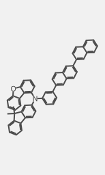 CC1(C)c2ccccc2-c2ccc(N(c3cccc(-c4ccc5cc(-c6ccc7ccccc7c6)ccc5c4)c3)c3cccc4oc5ccccc5c34)cc21